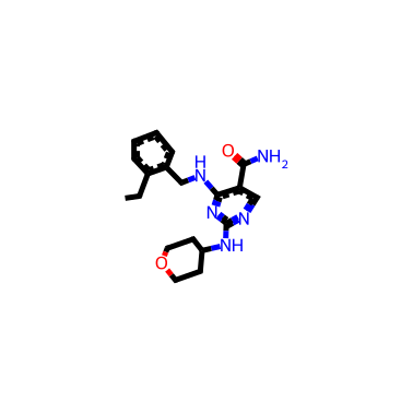 CCc1ccccc1CNc1nc(NC2CCOCC2)ncc1C(N)=O